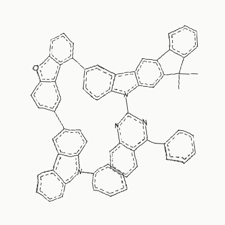 CC1(C)c2ccccc2-c2cc3c4cc(-c5cccc6oc7ccc(-c8ccc9c(c8)c8ccccc8n9-c8ccccc8)cc7c56)ccc4n(-c4nc(-c5ccccc5)c5ccccc5n4)c3cc21